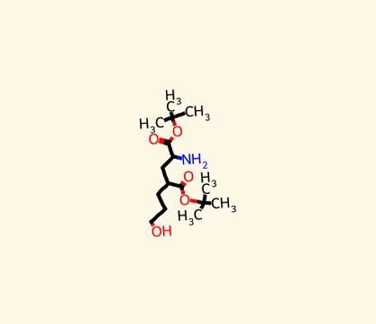 CC(C)(C)OC(=O)C(N)CC(CCCO)C(=O)OC(C)(C)C